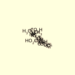 CC(C(=O)O)c1nnc(SCC2=C(C(=O)O)N3C(=O)C(NC(=O)COc4ccccc4)[C@H]3SC2)n1C